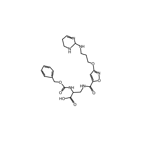 O=C(NC(CNC(=O)c1cc(OCCCNC2N=CCCN2)no1)C(=O)O)OCc1ccccc1